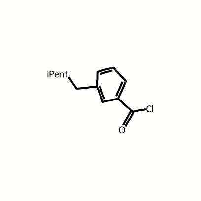 CCCC(C)Cc1cccc(C(=O)Cl)c1